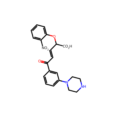 O=C(C=CC(Oc1ccccc1[N+](=O)[O-])C(=O)O)c1cccc(N2CCNCC2)c1